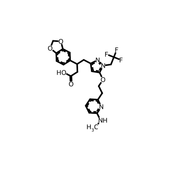 CNc1cccc(CCOc2cc(CC(CC(=O)O)c3ccc4c(c3)OCO4)nn2CC(F)(F)F)n1